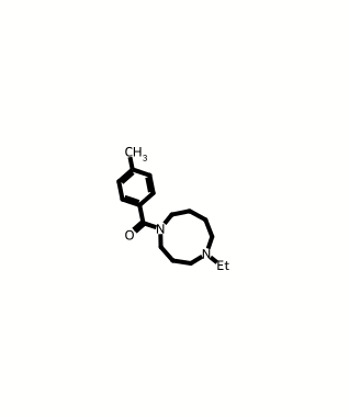 CCN1CCCCN(C(=O)c2ccc(C)cc2)CCC1